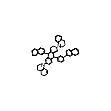 C1=CC2=C(CC1)CCCN2c1ccc2c(-c3cccc(-c4ccc5ccccc5c4)c3)c3c(c(-c4ccc5ccccc5c4)c2c1)=CCC(N1CCCc2ccccc21)C=3